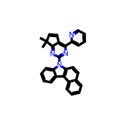 CC1(C)C=Cc2c(-c3ccccn3)nc(-n3c4ccccc4c4c5ccccc5ccc43)nc21